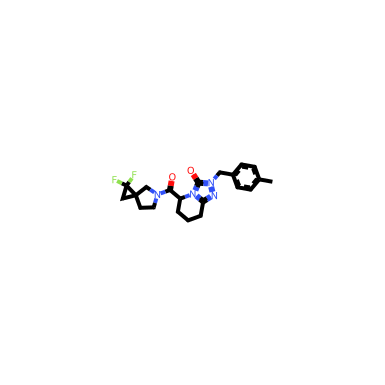 Cc1ccc(Cn2nc3n(c2=O)C(C(=O)N2CCC4(C2)CC4(F)F)CCC3)cc1